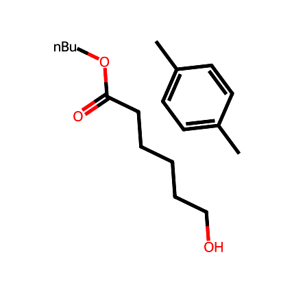 CCCCOC(=O)CCCCCO.Cc1ccc(C)cc1